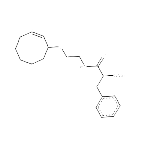 CN[C@@H](Cc1ccccc1)C(=O)NCCOC1/C=C\CCCCC1